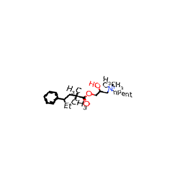 CCCCC[N+](C)(C)CC(O)COC(=O)C(C)(C)CC(CC)c1ccccc1